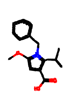 COc1cc(C(=O)O)c(C(C)C)n1Cc1ccccc1